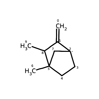 C=C1[C]2CCC(C)(C2)C1C